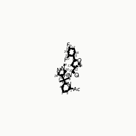 CC(=O)c1cccc(C(C)(CNC(=O)c2cc(-c3ccc(F)cc3F)on2)c2cnn(C)c2)n1